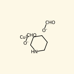 C1CCNCC1.O=C[O-].O=C[O-].[Cu+2]